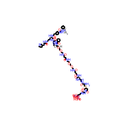 Cc1ccccc1NC(=O)Nc1ccc(CC(=O)N[C@@H](CCCCNC(=O)/C=C/c2cccnc2)C(=O)N[C@@H](CCCC(=O)O)C(=O)NC2(C(=O)NCCOCCOCCNC(=O)CCC(=O)NCCOCCOCCNC(=O)CCC(=O)N[C@@H](CCCCNC(=O)[C@H](N)CSC3CC(=O)N(CC(=O)NCCCC(O)(O[PH](=O)O)O[PH](=O)O)C3=O)C(N)=O)CCCCC2)cc1